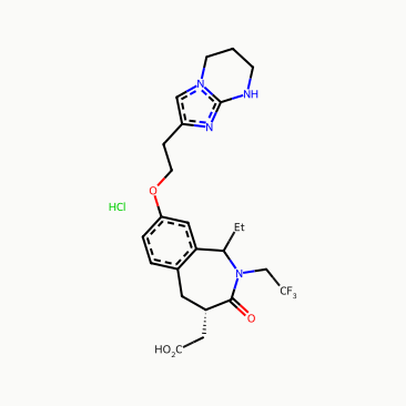 CCC1c2cc(OCCc3cn4c(n3)NCCC4)ccc2C[C@@H](CC(=O)O)C(=O)N1CC(F)(F)F.Cl